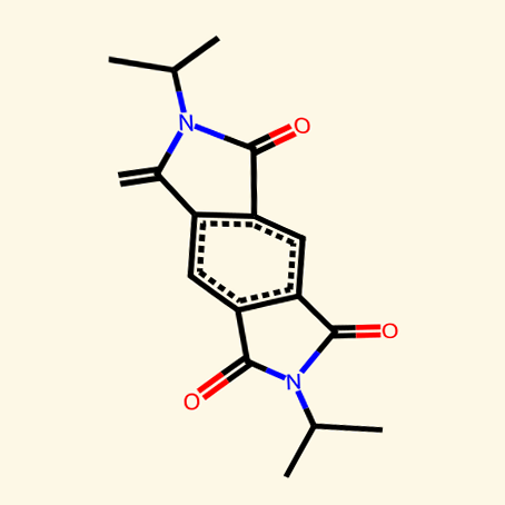 C=C1c2cc3c(cc2C(=O)N1C(C)C)C(=O)N(C(C)C)C3=O